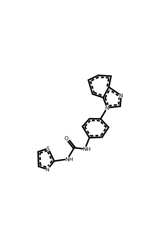 O=C(Nc1ccc(-n2cnc3ccccc32)cc1)Nc1nccs1